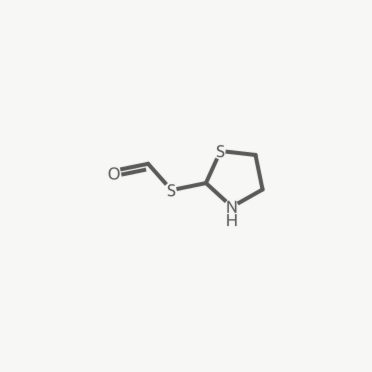 O=CSC1NCCS1